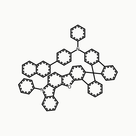 c1ccc(N(c2ccc(-c3ccc4ccccc4c3)cc2)c2ccc3c(c2)C2(c4ccccc4-3)c3ccccc3-c3c2ccc2c3oc3c2ccc2c3c3ccccc3n2-c2ccccc2)cc1